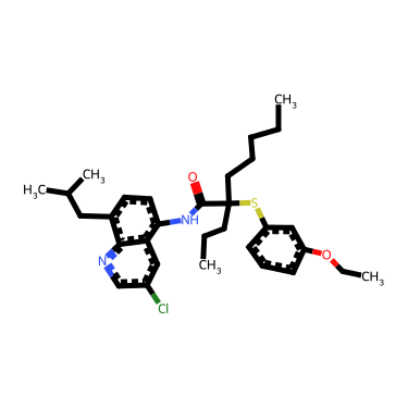 CCCCCC(CCC)(Sc1cccc(OCC)c1)C(=O)Nc1ccc(CC(C)C)c2ncc(Cl)cc12